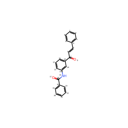 O=C(/C=C/c1ccccc1)c1cccc(NC(=O)c2ccccc2)c1